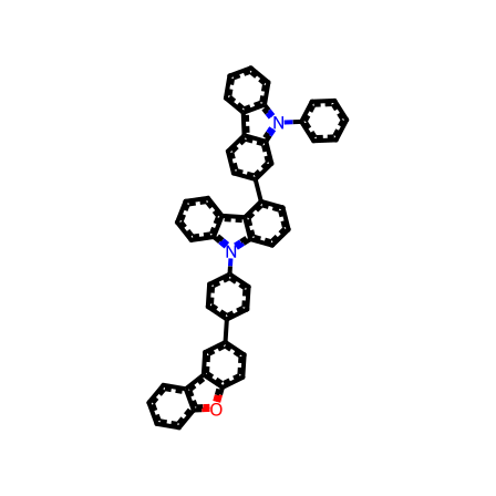 c1ccc(-n2c3ccccc3c3ccc(-c4cccc5c4c4ccccc4n5-c4ccc(-c5ccc6oc7ccccc7c6c5)cc4)cc32)cc1